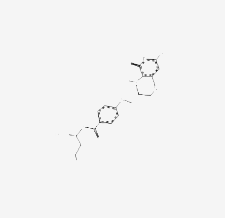 CN1c2c(cc(N)[nH]c2=O)NC[C@@H]1CNc1ccc(C(=O)N[C@@H](CCC(=O)O)C(=O)O)cc1